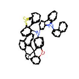 c1ccc2c(c1)Oc1ccc(N(c3ccc4c5ccccc5n(-c5cccc6ccccc56)c4c3)c3cccc4sc5ccccc5c34)cc1C21c2ccccc2-c2cccc3cccc1c23